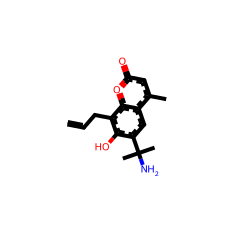 C=CCc1c(O)c(C(C)(C)N)cc2c(C)cc(=O)oc12